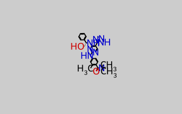 Cc1cc(Nc2ncc(-c3ncn[nH]3)c(N[C@H](CO)c3ccccc3)n2)ccc1C(=O)N(C)C